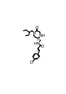 CCC(CC)CN1CC[C@@H](CNC(=O)/C=C/c2ccc(Cl)cc2)NCC1=O